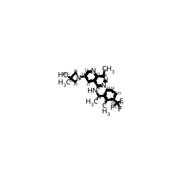 Cc1c([C@@H](C)Nc2nnc(C)c3ncc(N4CC(C)(O)C4)cc23)cccc1C(F)(F)F